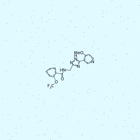 COc1ccncc1-c1nc(CNC(=O)c2ccccc2OC(F)(F)F)n[nH]1